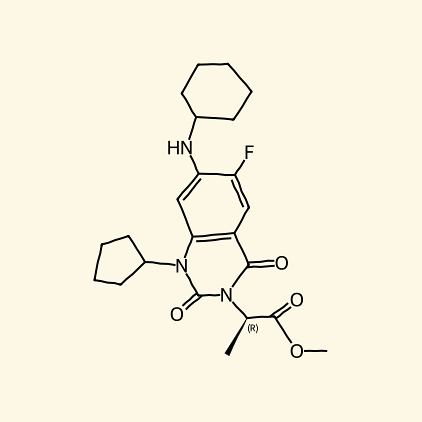 COC(=O)[C@@H](C)n1c(=O)c2cc(F)c(NC3CCCCC3)cc2n(C2CCCC2)c1=O